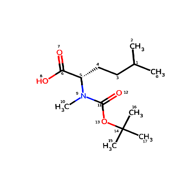 CC(C)CC[C@@H](C(=O)O)N(C)C(=O)OC(C)(C)C